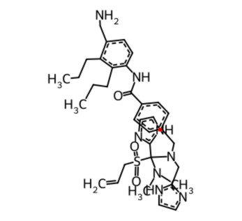 C=CCS(=O)(=O)C(c1ncc[nH]1)(N(C)C)N(Cc1ccc(C(=O)Nc2ccc(CN)c(CCC)c2CCC)cc1)Cc1ncc[nH]1